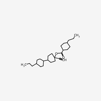 C#CC1(OC(=O)C2CCC(CCC)CC2)CCC(C2CCC(CCC)CC2)CC1